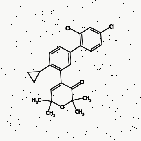 CC1(C)C=C(c2cc(-c3ccc(Cl)cc3Cl)ccc2C2CC2)C(=O)C(C)(C)O1